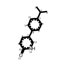 CC(C)c1ccc(-c2ccc(=O)[nH]c2)cc1